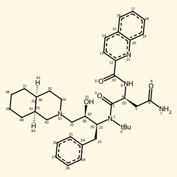 CC(C)(C)N(C(=O)[C@H](CC(N)=O)NC(=O)c1ccc2ccccc2n1)[C@@H](Cc1ccccc1)[C@H](O)CN1CC[C@@H]2CCCC[C@@H]2C1